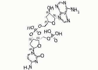 Nc1ccn([C@H]2C[C@H](OP(=O)(O)OC[C@H]3[CH][C@@H](O)[C@H](n4cnc5c(N)ncnc54)O3)[C@H](COP(=O)(O)O)O2)c(=O)n1